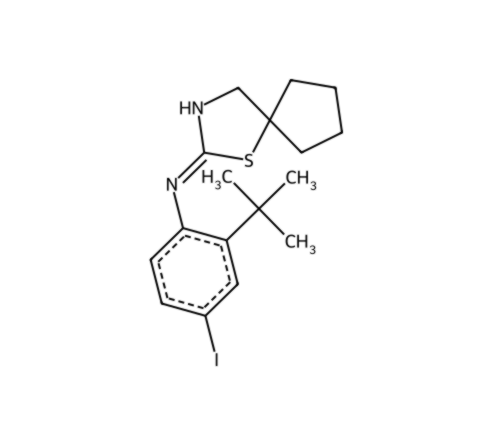 CC(C)(C)c1cc(I)ccc1/N=C1/NCC2(CCCC2)S1